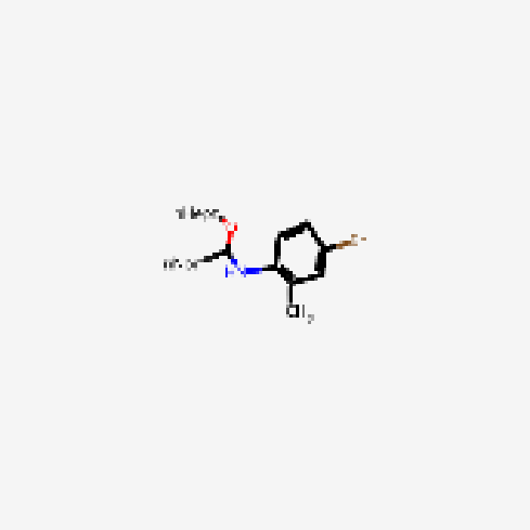 CCCCCCCCCC(Nc1ccc(Br)cc1C)OCCCCCCC